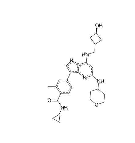 Cc1cc(-c2cnn3c(NC[C@H]4C[C@H](O)C4)cc(NC4CCOCC4)nc23)ccc1C(=O)NC1CC1